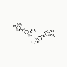 COc1cc2c(cc1OCCCOc1cc3cc(C(=O)C[C@H](C)C(=O)O)sc3cc1OC)CN(C(=O)C[C@H](C)C(=O)O)C2